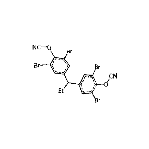 CCC(c1cc(Br)c(OC#N)c(Br)c1)c1cc(Br)c(OC#N)c(Br)c1